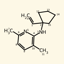 C=CC1(Nc2nc(C)ccc2C)CCCC1